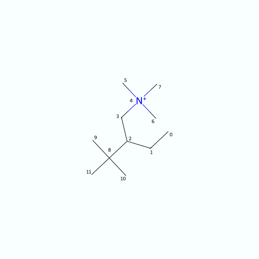 CCC(C[N+](C)(C)C)C(C)(C)C